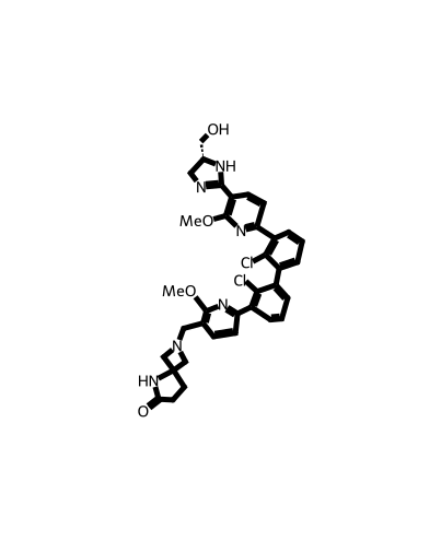 COc1nc(-c2cccc(-c3cccc(-c4ccc(C5=NC[C@H](CO)N5)c(OC)n4)c3Cl)c2Cl)ccc1CN1CC2(CCC(=O)N2)C1